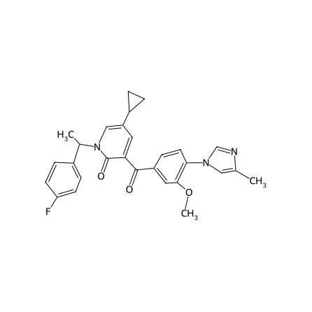 COc1cc(C(=O)c2cc(C3CC3)cn(C(C)c3ccc(F)cc3)c2=O)ccc1-n1cnc(C)c1